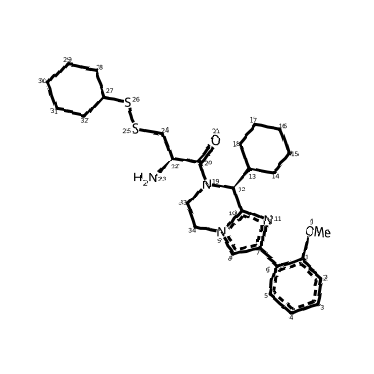 COc1ccccc1-c1cn2c(n1)[C@H](C1CCCCC1)N(C(=O)[C@@H](N)CSSC1CCCCC1)CC2